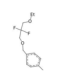 CCOCC(F)(F)COCc1ccc(C)cc1